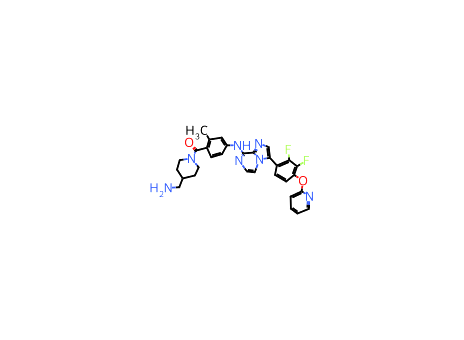 Cc1cc(Nc2nccn3c(-c4ccc(Oc5ccccn5)c(F)c4F)cnc23)ccc1C(=O)N1CCC(CN)CC1